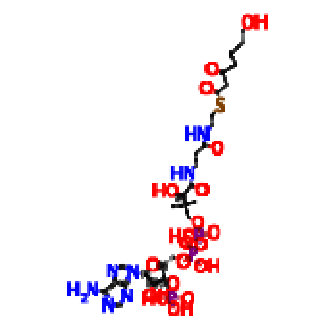 CC(C)(COP(=O)(O)OP(=O)(O)OC[C@H]1O[C@@H](n2cnc3c(N)ncnc32)[C@H](O)[C@@H]1OP(=O)(O)O)[C@@H](O)C(=O)NCCC(=O)NCCSC(=O)CC(=O)CCCCO